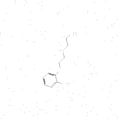 COc1ccccc1OCCNCCC#N